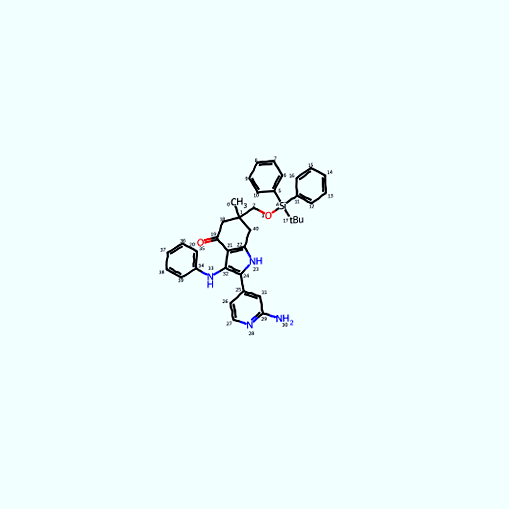 CC1(CO[Si](c2ccccc2)(c2ccccc2)C(C)(C)C)CC(=O)c2c([nH]c(-c3ccnc(N)c3)c2Nc2ccccc2)C1